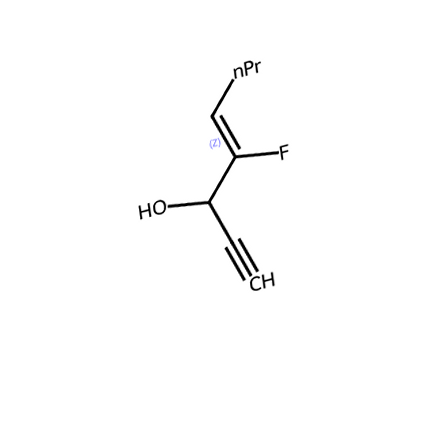 C#CC(O)/C(F)=C/CCC